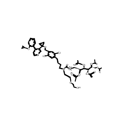 CC(=O)OC[C@@H](OC(C)=O)[C@@H](OC(C)=O)[C@H](OC(C)=O)[C@H](CNC(=O)N(CCCCc1cc(Cl)c(COC2(c3cnccc3-c3ccccc3OC3CC3)CC2)cc1Cl)CCOCCO)OC(C)=O